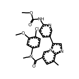 COC(=O)Nc1ccc(-c2cnc3c(C)cc(C(=O)N(C)c4ccc(Cl)c(OC)c4)cn23)cn1